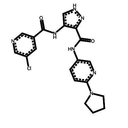 O=C(Nc1c[nH]nc1C(=O)Nc1ccc(N2CCCC2)nc1)c1cncc(Cl)c1